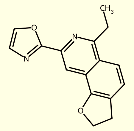 CCc1nc(-c2ncco2)cc2c3c(ccc12)CCO3